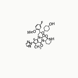 COc1ccc(F)cc1C(Cn1c(=O)n(C2CCCNC2=O)c(=O)c2c(C)c(-n3nccn3)sc21)OC1CCC(O)CC1